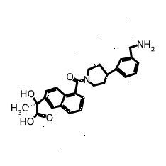 C[C@@](O)(C(=O)O)c1ccc2c(C(=O)N3CCC(c4cccc(CN)c4)CC3)cccc2c1